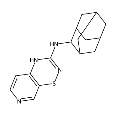 c1cc2c(cn1)SN=C(NC1C3CC4CC(C3)CC1C4)N2